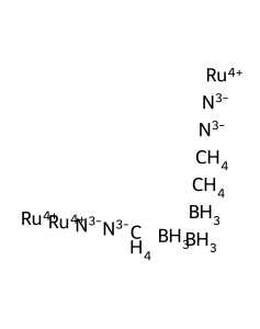 B.B.B.C.C.C.[N-3].[N-3].[N-3].[N-3].[Ru+4].[Ru+4].[Ru+4]